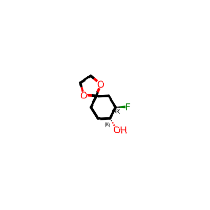 O[C@@H]1CCC2(C[C@H]1F)OCCO2